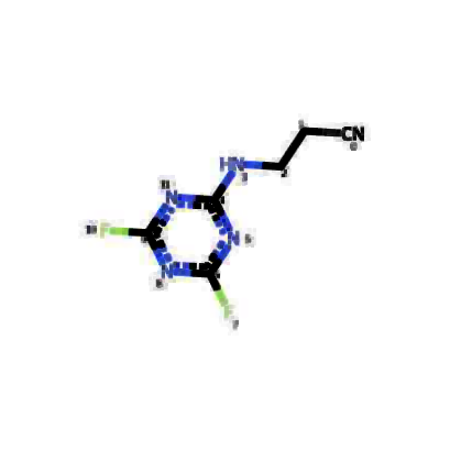 N#CCCNc1nc(F)nc(F)n1